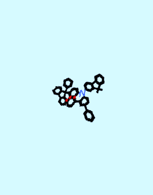 CC1(C)c2ccccc2-c2ccc(N(c3ccc(C4(c5ccccc5)c5ccccc5-c5ccccc54)cc3)c3ccc(-c4ccccc4)cc3-c3ccccc3)cc21